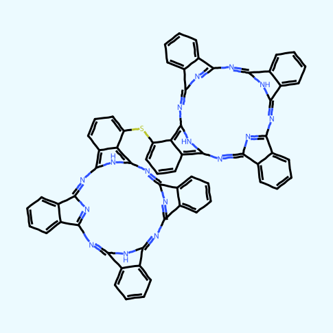 c1ccc2c(c1)-c1nc-2nc2[nH]c(nc3nc(nc4[nH]c(n1)c1ccccc41)-c1ccccc1-3)c1c(Sc3cccc4c5nc6nc(nc7[nH]c(nc8nc(nc([nH]5)c34)-c3ccccc3-8)c3ccccc73)-c3ccccc3-6)cccc21